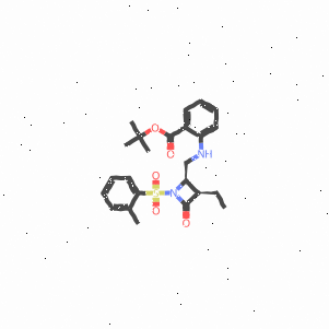 CC[C@H]1C(=O)N(S(=O)(=O)c2ccccc2C)[C@H]1CNc1ccccc1C(=O)OC(C)(C)C